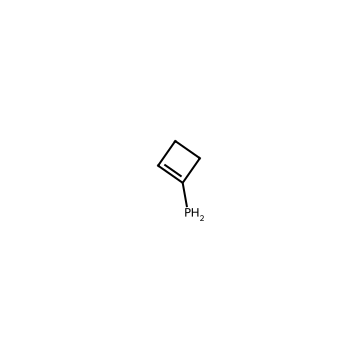 PC1=CCC1